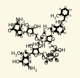 CO[C@H]1C(OP(=O)(O)OC[C@H]2O[C@@H](n3cnc4c(=O)[nH]c(N)nc43)[C@@H](O)C2O)[C@@H](COP(=O)(O)OP(=O)(O)OP(=O)(O)OC[C@H]2O[C@@H](n3c[n+](C)c4c(O)nc(N)nc43)C(O)C2O)O[C@H]1n1cnc2c(NCc3ccccc3C)ncnc21